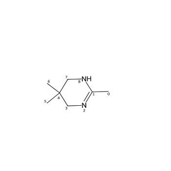 CC1=NCC(C)(C)CN1